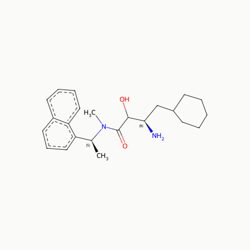 C[C@@H](c1cccc2ccccc12)N(C)C(=O)C(O)[C@H](N)CC1CCCCC1